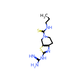 CCCNC(=S)N1CCc2nc(NC(=N)N)sc2C1